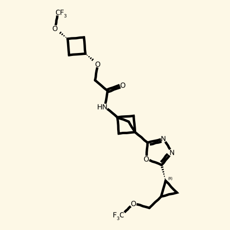 O=C(CO[C@H]1C[C@@H](OC(F)(F)F)C1)NC12CC(c3nnc([C@@H]4CC4COC(F)(F)F)o3)(C1)C2